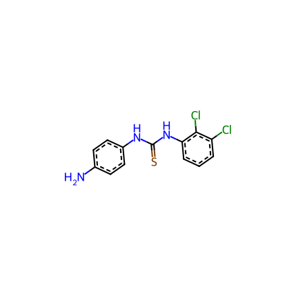 Nc1ccc(NC(=S)Nc2cccc(Cl)c2Cl)cc1